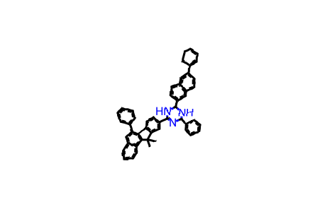 CC1(C)c2cc(C3=NC(c4ccccc4)NC(c4ccc5cc(C6=CC=CCC6)ccc5c4)N3)ccc2-c2c(-c3ccccc3)cc3ccccc3c21